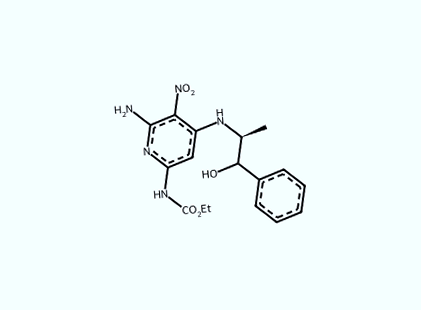 CCOC(=O)Nc1cc(N[C@@H](C)C(O)c2ccccc2)c([N+](=O)[O-])c(N)n1